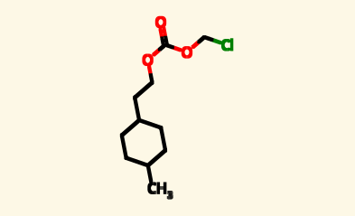 CC1CCC(CCOC(=O)OCCl)CC1